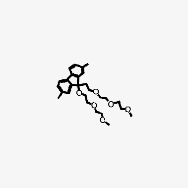 COCCOCCOCCC1(OCCOCCOC)c2cc(C)ccc2-c2ccc(C)cc21